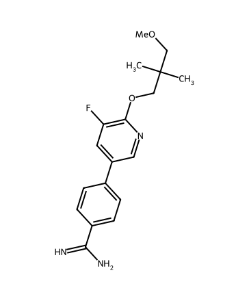 COCC(C)(C)COc1ncc(-c2ccc(C(=N)N)cc2)cc1F